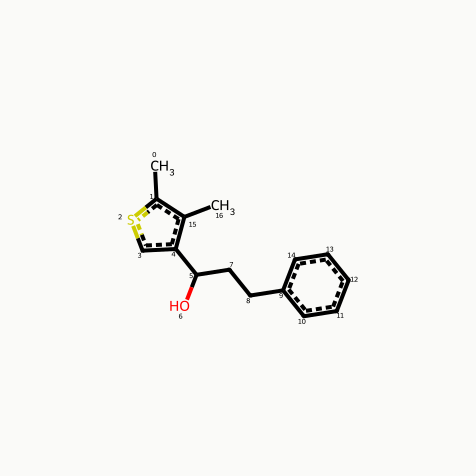 Cc1scc(C(O)CCc2ccccc2)c1C